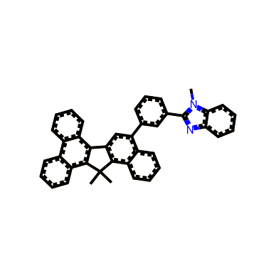 Cn1c(-c2cccc(-c3cc4c(c5ccccc35)C(C)(C)c3c-4c4ccccc4c4ccccc34)c2)nc2ccccc21